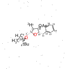 [2H]C1[C@@H](CO[Si](C)(C)C(C)(C)C)O[C@@H](Cc2ccccc2)[C@H]1OC(C)=O